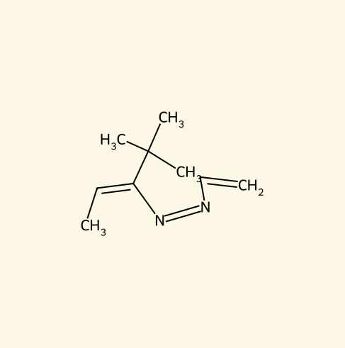 C=C/N=N\C(=C/C)C(C)(C)C